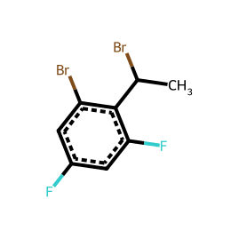 CC(Br)c1c(F)cc(F)cc1Br